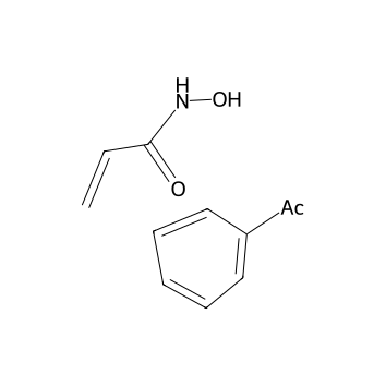 C=CC(=O)NO.CC(=O)c1ccccc1